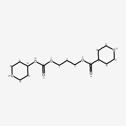 O=C(OCC[CH]OC(=O)C1CCOCC1)OC1CCOCC1